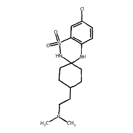 CN(C)CCC1CCC2(CC1)Nc1ccc(Cl)cc1S(=O)(=O)N2